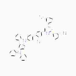 N#Cc1cccc(-c2cc(-c3ccc(-c4ccc(-n5c6ccccc6c6cc(N(c7ccccc7)c7ccccc7)ccc65)cc4C#N)cc3)nc(-c3cccc(C#N)c3)n2)c1